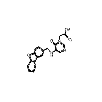 O=C(O)Cn1cncc(NCc2ccc3oc4ccccc4c3c2)c1=O